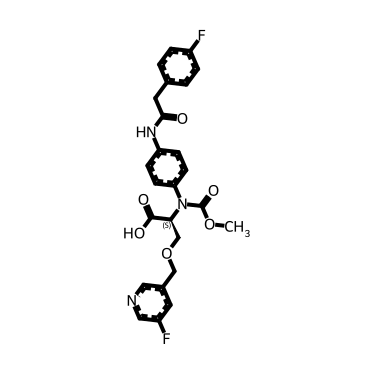 COC(=O)N(c1ccc(NC(=O)Cc2ccc(F)cc2)cc1)[C@@H](COCc1cncc(F)c1)C(=O)O